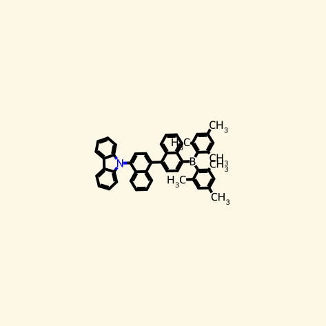 Cc1cc(C)c(B(c2c(C)cc(C)cc2C)c2ccc(-c3ccc(-n4c5ccccc5c5ccccc54)c4ccccc34)c3ccccc23)c(C)c1